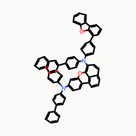 c1ccc(-c2ccc(N(c3ccc(-c4ccccc4)cc3)c3ccc4c(c3)Oc3c(N(c5ccc(-c6ccccc6)cc5)c5ccc(-c6cccc7c6oc6ccccc67)cc5)ccc5cccc-4c35)cc2)cc1